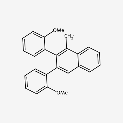 [CH2]c1c(-c2ccccc2OC)c(-c2ccccc2OC)cc2ccccc12